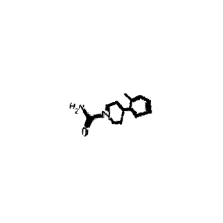 Cc1ccccc1C1=CCN(C(N)=O)CC1